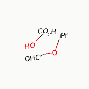 CC(C)OC=O.O=C(O)O